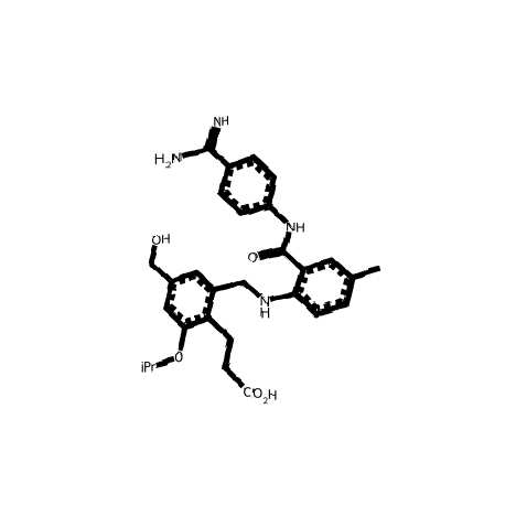 Cc1ccc(NCc2cc(CO)cc(OC(C)C)c2CCC(=O)O)c(C(=O)Nc2ccc(C(=N)N)cc2)c1